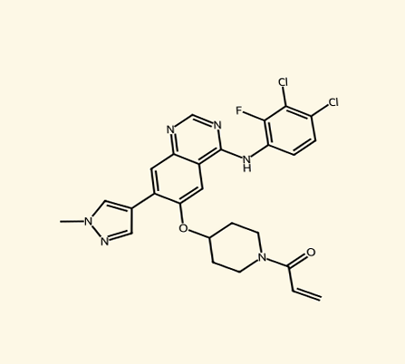 C=CC(=O)N1CCC(Oc2cc3c(Nc4ccc(Cl)c(Cl)c4F)ncnc3cc2-c2cnn(C)c2)CC1